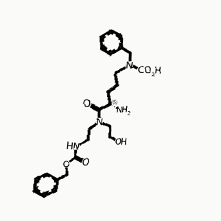 N[C@@H](CCCN(Cc1ccccc1)C(=O)O)C(=O)N(CCO)CCNC(=O)OCc1ccccc1